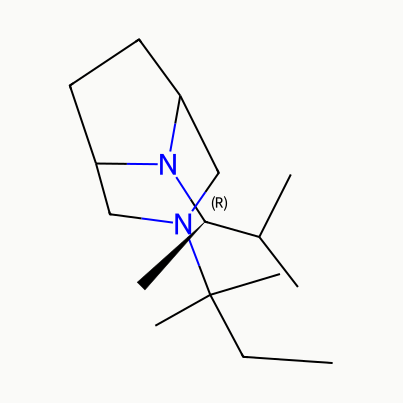 CCC(C)(C)N1CC2CCC(C1)N2[C@H](C)C(C)C